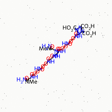 CN[C@@H](CCCCNC(=O)COCCOCCNC(=O)COCCOCCNC(=O)CCCC(=O)NCCCCC(NC(=O)COCCOCCNC(=O)COCCOCCNC(=O)CN1CCN(CC(=O)O)CCN(CC(=O)O)CCN(CC(=O)O)CC1)C(=O)NCCCC[C@H](NC)C(N)=O)C(N)=O